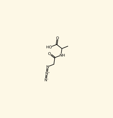 CC(NC(=O)CN=[N+]=[N-])C(=O)O